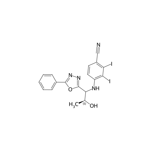 C[C@H](O)C(Nc1ccc(C#N)c(I)c1I)c1nnc(-c2ccccc2)o1